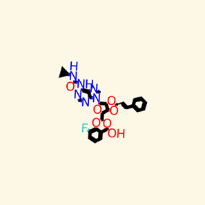 O=C(Nc1ncnc2c1ncn2C1OC(COc2c(F)cccc2C(=O)O)C2O[C@H](/C=C/c3ccccc3)OC21)NC1CC1